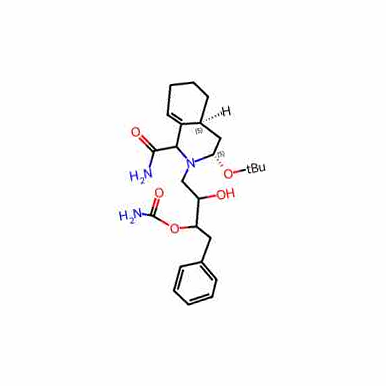 CC(C)(C)O[C@H]1C[C@@H]2CCCC=C2C(C(N)=O)N1CC(O)C(Cc1ccccc1)OC(N)=O